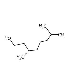 CC(C)CCC[C@H](C)CCO